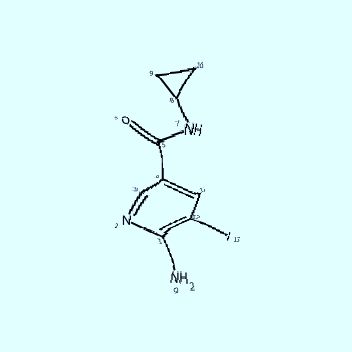 Nc1ncc(C(=O)NC2CC2)cc1I